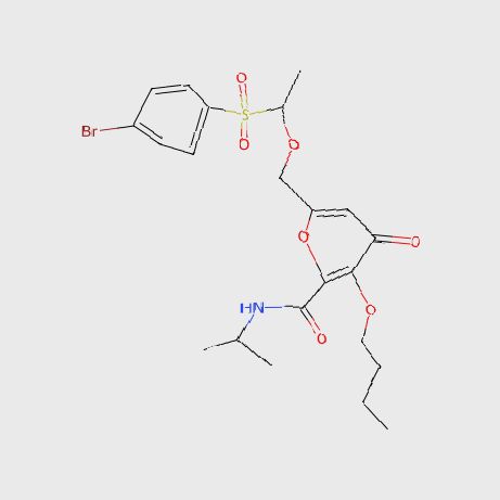 CCCCOc1c(C(=O)NC(C)C)oc(COC(C)S(=O)(=O)c2ccc(Br)cc2)cc1=O